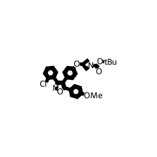 COc1ccc(-c2onc(-c3ccccc3Cl)c2-c2ccc(OC3CN(C(=O)OC(C)(C)C)C3)cc2)cc1